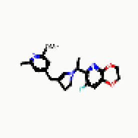 COc1cc(CC2=CN(C(C)c3nc4c(cc3F)OCCO4)CC2)cc(C)n1